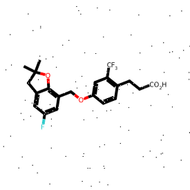 CC1(C)Cc2cc(F)cc(COc3ccc(CCC(=O)O)c(C(F)(F)F)c3)c2O1